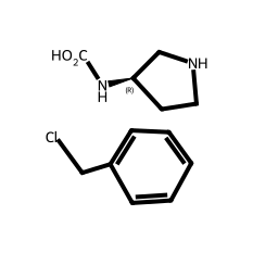 ClCc1ccccc1.O=C(O)N[C@@H]1CCNC1